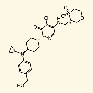 O=c1c(Cl)c(NC[C@@H]2COCCS2(=O)=O)cnn1[C@H]1CC[C@H](N(c2ccc(CO)cc2)C2CC2)CC1